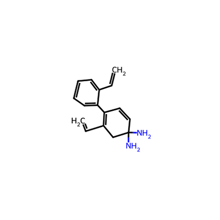 C=CC1=C(c2ccccc2C=C)C=CC(N)(N)C1